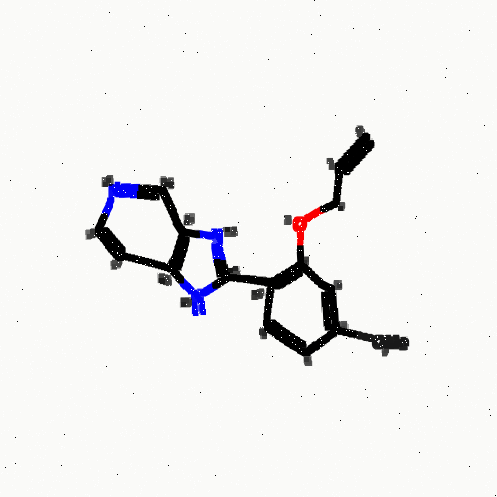 C=CCOc1cc(OC)ccc1-c1nc2cnccc2[nH]1